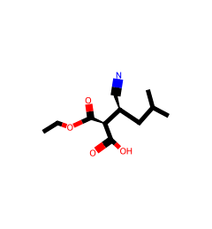 CCOC(=O)[C@H](C(=O)O)[C@@H](C#N)CC(C)C